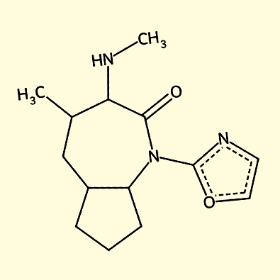 CNC1C(=O)N(c2ncco2)C2CCCC2CC1C